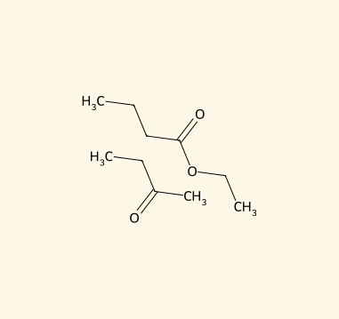 CCC(C)=O.CCCC(=O)OCC